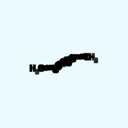 CCCCCCCCCC(=O)c1ccc(-c2ccc(OC(=O)C3CCN(CCCCCCCC)CC3)cc2)cc1